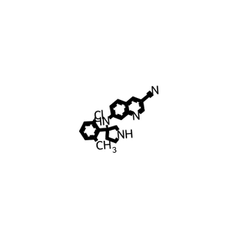 Cc1cccc(Cl)c1[C@@]1(Nc2ccc3cc(C#N)cnc3c2)CCNC1